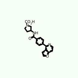 O=C(NC1CCN(C(=O)O)C1)c1ccc(-c2nccc3occc23)cc1